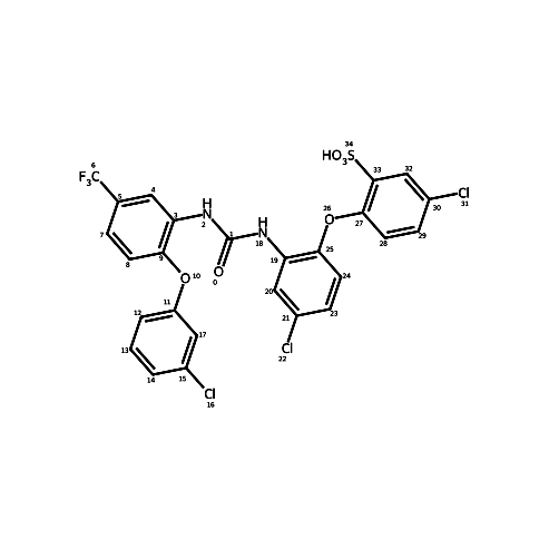 O=C(Nc1cc(C(F)(F)F)ccc1Oc1cccc(Cl)c1)Nc1cc(Cl)ccc1Oc1ccc(Cl)cc1S(=O)(=O)O